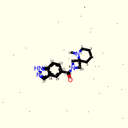 CN1CCCCC12CN(C(=O)c1ccc3[nH]ncc3c1)C2